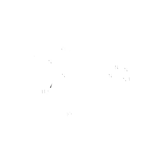 C[C@@H]1CN(c2cc(O)cc(Cc3ccccc3-c3nnn[nH]3)c2)[C@@H](C)CN1CC1CC1